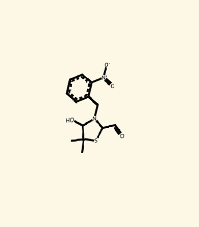 CC1(C)SC(C=O)N(Cc2ccccc2[N+](=O)[O-])C1O